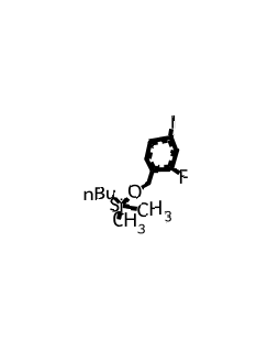 CCCC[Si](C)(C)OCc1ccc(I)cc1F